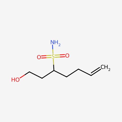 C=CCCC(CCO)S(N)(=O)=O